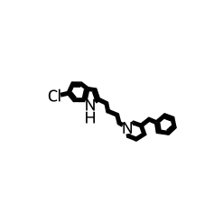 Clc1ccc2cc(CCCCN3CCCC(Cc4ccccc4)C3)[nH]c2c1